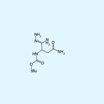 CC(C)(C)OC(=O)NC(CC(N)=O)/C(N)=N/N